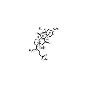 CC[C@H]1C(=O)[C@@H]2[C@H](C(=O)C(Br)[C@]3(C)[C@@H]([C@H](C)CCC(=O)OC)CC[C@@H]23)[C@@]2(C)CC[C@@H](OC(C)=O)C[C@@H]12